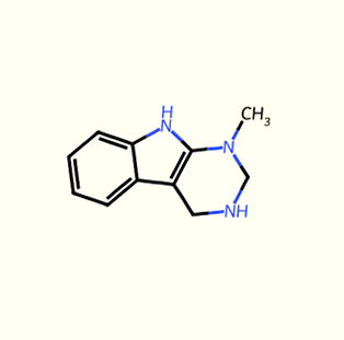 CN1CNCc2c1[nH]c1ccccc21